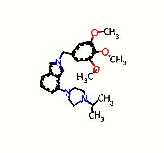 COc1cc(Cn2cc3cccc(N4CCN(C(C)C)CC4)c3c2)cc(OC)c1OC